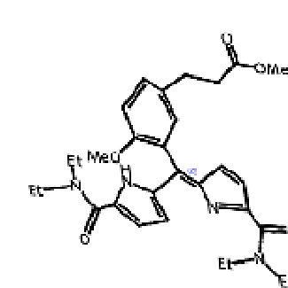 CCN(CC)C(=O)C1=N/C(=C(\c2ccc(C(=O)N(CC)CC)[nH]2)c2cc(CCC(=O)OC)ccc2OC)C=C1